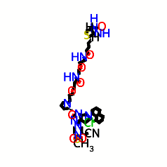 CS(=O)(=O)N1CCN(c2nc(OC[C@@H]3CCCN3CCCOCCC(=O)NCCOCCNC(=O)CCCC[C@@H]3SC[C@@H]4NC(=O)N[C@@H]43)nc3c2CCN(c2cccc4cccc(Cl)c24)C3)C[C@@H]1CC#N